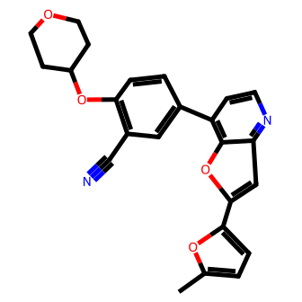 Cc1ccc(-c2cc3nccc(-c4ccc(OC5CCOCC5)c(C#N)c4)c3o2)o1